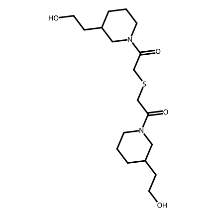 O=C(CSCC(=O)N1CCCC(CCO)C1)N1CCCC(CCO)C1